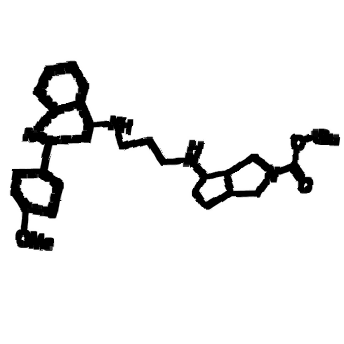 COc1ccc(-c2cc(NCCCNC3CCC4CN(C(=O)OC(C)(C)C)CC43)c3ccccc3n2)cc1